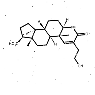 C[C@]12C=C(CCC#N)C(=O)N[C@@H]1CC[C@@H]1[C@@H]2CC[C@]2(C)[C@@H](C(=O)O)CC[C@@H]12